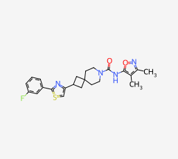 Cc1noc(NC(=O)N2CCC3(CC2)CC(c2csc(-c4cccc(F)c4)n2)C3)c1C